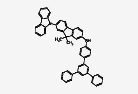 CC1(C)c2cc(Nc3ccc(-c4cc(-c5ccccc5)cc(-c5ccccc5)c4)cc3)ccc2-c2ccc(-n3c4ccccc4c4ccccc43)cc21